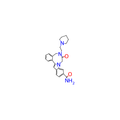 NC(=O)c1ccc2cc3n(c2c1)CC(=O)N(CCN1CCCCC1)Cc1ccccc1-3